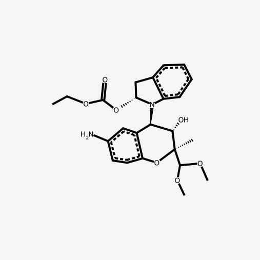 CCOC(=O)O[C@@H]1Cc2ccccc2N1[C@@H]1c2cc(N)ccc2O[C@](C)(C(OC)OC)[C@H]1O